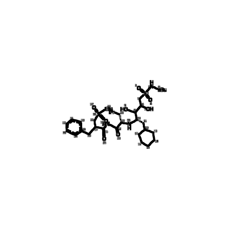 CCCCNS(=O)(=O)CC(O)C(O)[C@H](CC1CCCCC1)N[C@@H](CC(C)C)C(=O)NC(=O)C(Cc1ccccc1)CS(=O)(=O)C(C)(C)C